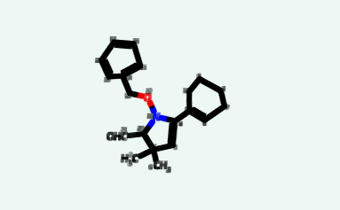 CC1(C)C=C(C2=CCCCC2)N(OCc2ccccc2)C1C=O